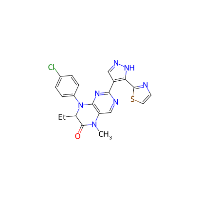 CCC1C(=O)N(C)c2cnc(-c3cn[nH]c3-c3nccs3)nc2N1c1ccc(Cl)cc1